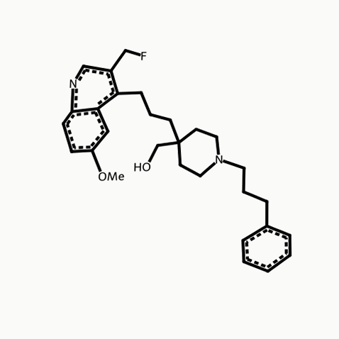 COc1ccc2ncc(CF)c(CCCC3(CO)CCN(CCCc4ccccc4)CC3)c2c1